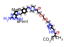 CCCCCNc1nc(N)nc2ccn(Cc3ccc(CN4CCN(C(=O)CCOCCOCCn5cc(CNC(=O)C(C)CC(=O)O)nn5)CC4)cc3OC)c12